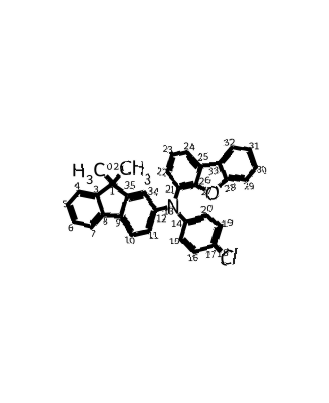 CC1(C)c2ccccc2-c2ccc(N(c3ccc(Cl)cc3)c3cccc4c3oc3ccccc34)cc21